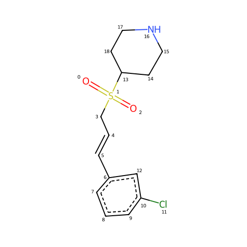 O=S(=O)(CC=Cc1cccc(Cl)c1)C1CCNCC1